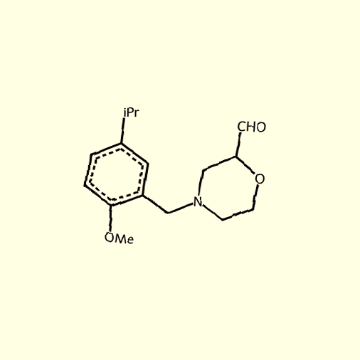 COc1ccc(C(C)C)cc1CN1CCOC(C=O)C1